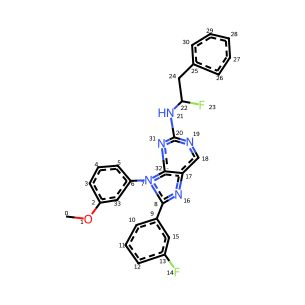 COc1cccc(-n2c(-c3cccc(F)c3)nc3cnc(NC(F)Cc4ccccc4)nc32)c1